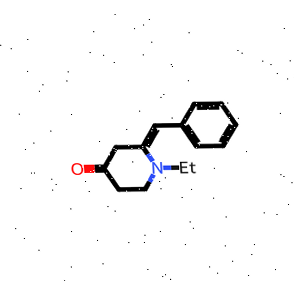 CCN1CCC(=O)CC1=Cc1ccccc1